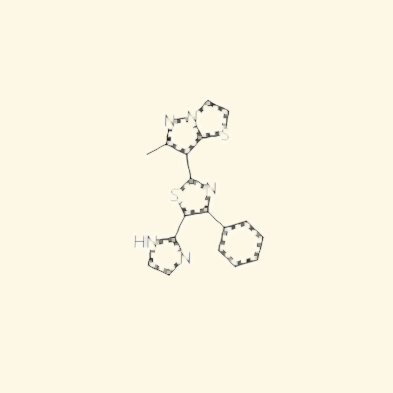 Cc1nn2ccsc2c1-c1nc(-c2ccccc2)c(-c2ncc[nH]2)s1